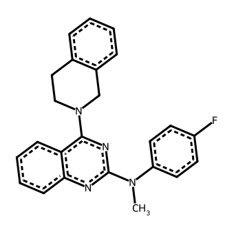 CN(c1ccc(F)cc1)c1nc(N2CCc3ccccc3C2)c2ccccc2n1